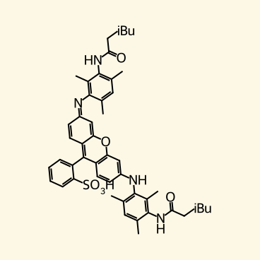 CCC(C)CC(=O)Nc1c(C)cc(C)c(/N=c2/ccc3c(-c4ccccc4S(=O)(=O)O)c4ccc(Nc5c(C)cc(C)c(NC(=O)CC(C)CC)c5C)cc4oc-3c2)c1C